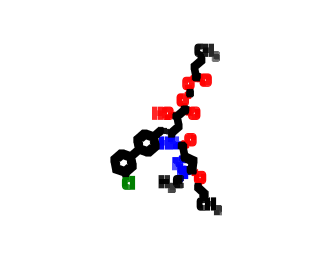 C=CCOc1cc(C(=O)N[C@H](Cc2ccc(-c3cccc(Cl)c3)cc2)CC(O)C(=O)OCOC(=O)CCC)nn1C